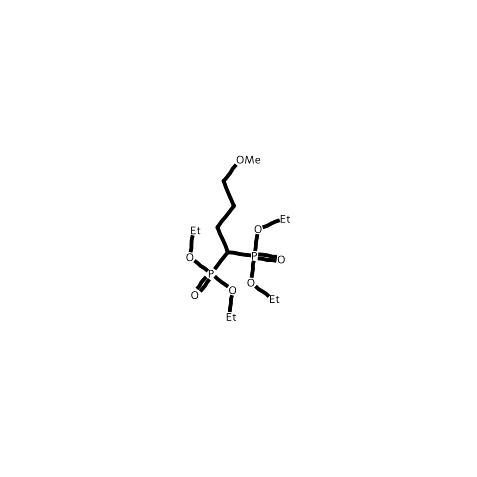 CCOP(=O)(OCC)C(CCCOC)P(=O)(OCC)OCC